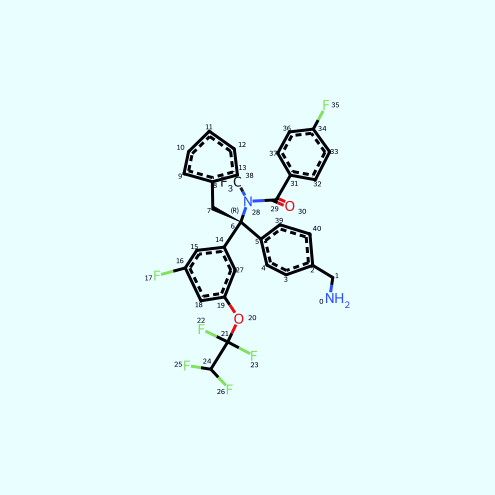 NCc1ccc([C@](Cc2ccccc2)(c2cc(F)cc(OC(F)(F)C(F)F)c2)N(C(=O)c2ccc(F)cc2)C(F)(F)F)cc1